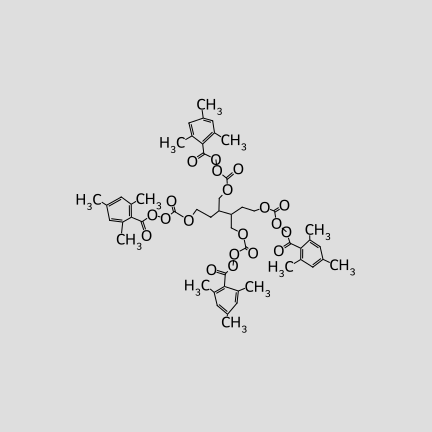 Cc1cc(C)c(C(=O)OOC(=O)OCCC(COC(=O)OOC(=O)c2c(C)cc(C)cc2C)C(CCOC(=O)OOC(=O)c2c(C)cc(C)cc2C)COC(=O)OOC(=O)c2c(C)cc(C)cc2C)c(C)c1